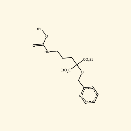 CCOC(=O)C(CCCNC(=O)OC(C)(C)C)(OCc1ccccn1)C(=O)OCC